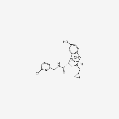 O=C(NCc1cccc(Cl)c1)[C@@H]1C[C@]23CCN(CC4CC4)[C@H](Cc4ccc(O)cc42)[C@]3(O)C1